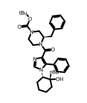 CCCC[C@@]1(O)CCCC[C@@H]1n1cnc(C(=O)N2CCN(C(=O)OC(C)(C)C)C[C@H]2Cc2ccccc2)c1-c1ccccc1